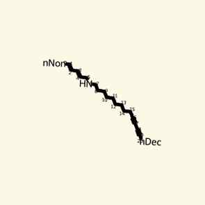 CCCCCCCCCC=CC=CCNCCCCCCCCCC#CC#CCCCCCCCCCC